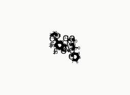 C[C@@H](OC1CCCCO1)[C@H]1COC(=O)N1c1noc2c(F)c(F)c(C3OCCO3)cc12